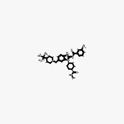 CC(C)NC(=O)[C@H]1CC[C@@H](n2/c(=N/C(=O)c3cccc(C(F)(F)F)c3)[nH]c3ccc(CN4CCC(C(C)(C)O)CC4)cc32)CC1